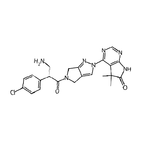 CC1(C)C(=O)Nc2ncnc(-n3cc4c(n3)CN(C(=O)[C@@H](CN)c3ccc(Cl)cc3)C4)c21